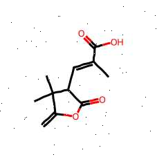 C=C1OC(=O)C(C=C(C)C(=O)O)C1(C)C